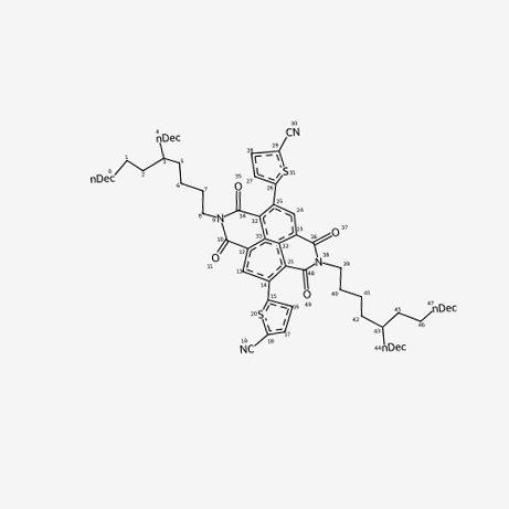 CCCCCCCCCCCCC(CCCCCCCCCC)CCCCN1C(=O)c2cc(-c3ccc(C#N)s3)c3c4c(cc(-c5ccc(C#N)s5)c(c24)C1=O)C(=O)N(CCCCC(CCCCCCCCCC)CCCCCCCCCCCC)C3=O